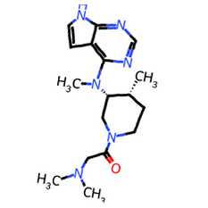 C[C@@H]1CCN(C(=O)CN(C)C)C[C@@H]1N(C)c1ncnc2[nH]ccc12